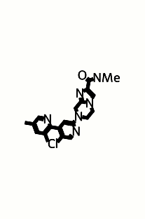 CNC(=O)c1cn2c(n1)CN(c1cc(-c3ncc(C)cc3C)c(Cl)cn1)CC2